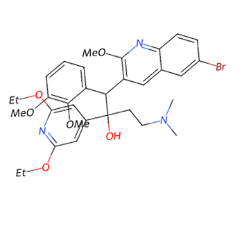 CCOc1cc(C(O)(CCN(C)C)C(c2cc3cc(Br)ccc3nc2OC)c2cccc(OC)c2OC)cc(OCC)n1